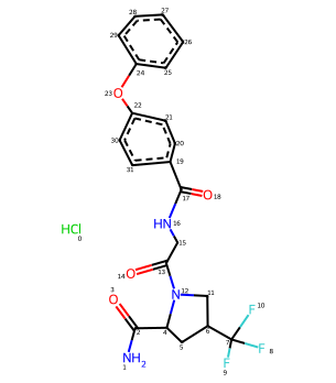 Cl.NC(=O)C1CC(C(F)(F)F)CN1C(=O)CNC(=O)c1ccc(Oc2ccccc2)cc1